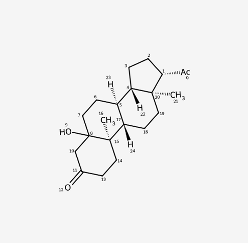 CC(=O)[C@H]1CC[C@H]2[C@@H]3CCC4(O)CC(=O)CC[C@]4(C)[C@H]3CC[C@]12C